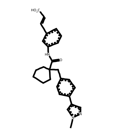 Cn1cc(-c2ccc(CC3(C(=O)Nc4cccc(/C=C/C(=O)O)c4)CCCCC3)cc2)cn1